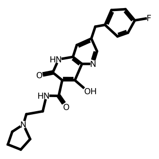 O=C(NCCN1CCCC1)c1c(O)c2ncc(Cc3ccc(F)cc3)cc2[nH]c1=O